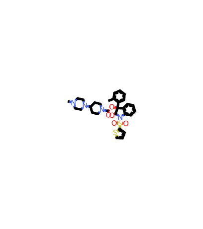 Cc1ccccc1C1(OC(=O)N2CCC(N3CCN(C)CC3)CC2)C(=O)N(S(=O)(=O)c2cccs2)c2ccccc21